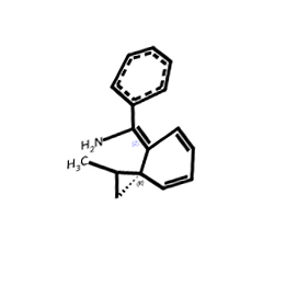 CC1C[C@]12C=CC=C/C2=C(/N)c1ccccc1